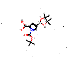 CC(C)(C)OC(=O)n1cc(B2OC(C)(C)C(C)(C)O2)cc1C(=O)O